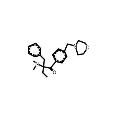 CCC(Cc1ccccc1)(C(=O)c1ccc(CN2CCOCC2)cc1)N(C)C